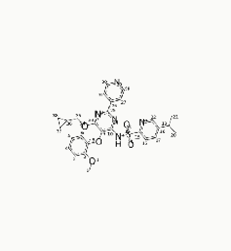 COc1ccccc1Oc1c(NS(=O)(=O)c2ccc(C(C)C)cn2)nc(-c2ccncc2)nc1OCC1CC1